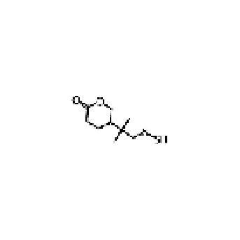 CC(C)(CSS)C1CCC(=O)OC1